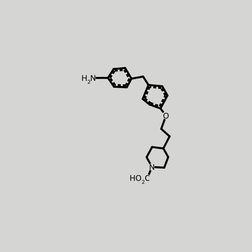 Nc1ccc(Cc2ccc(OCCC3CCN(C(=O)O)CC3)cc2)cc1